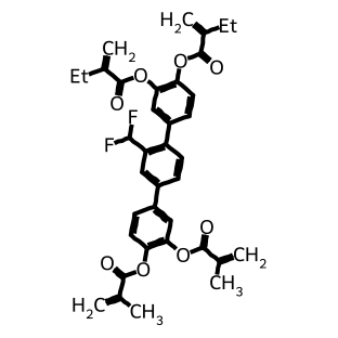 C=C(C)C(=O)Oc1ccc(-c2ccc(-c3ccc(OC(=O)C(=C)CC)c(OC(=O)C(=C)CC)c3)c(C(F)F)c2)cc1OC(=O)C(=C)C